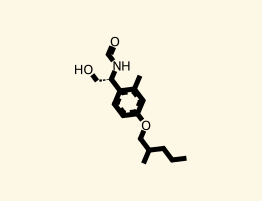 CCCC(C)COc1ccc([C@H](CO)NC=O)c(C)c1